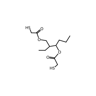 CCCC(OC(=O)CS)C(CC)COC(=O)CS